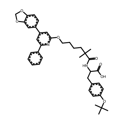 CC(C)(C)Oc1ccc(CC(NC(=O)C(C)(C)CCCCOc2cc(-c3ccc4c(c3)OCO4)cc(-c3ccccc3)n2)C(=O)O)cc1